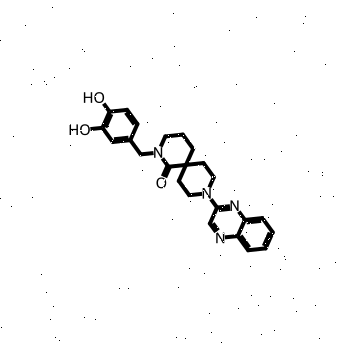 O=C1N(Cc2ccc(O)c(O)c2)CCCC12CCN(c1cnc3ccccc3n1)CC2